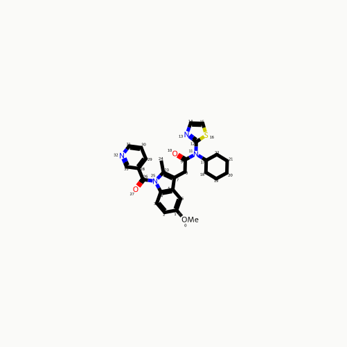 COc1ccc2c(c1)c(CC(=O)N(c1nccs1)C1CCCCC1)c(C)n2C(=O)c1cccnc1